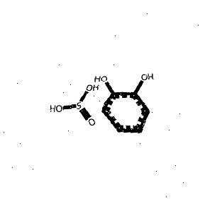 O=S(O)O.Oc1ccccc1O